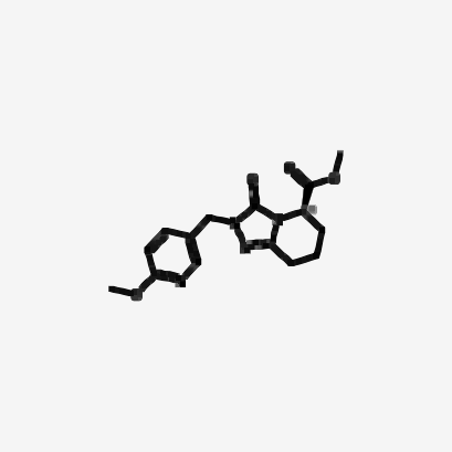 COC(=O)[C@H]1CCCc2nn(Cc3ccc(OC)nc3)c(=O)n21